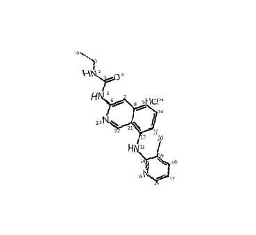 CCNC(=O)Nc1cc2cccc(Nc3ncccc3C)c2cn1.Cl